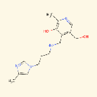 Cc1cn(CCCNCc2c(CO)cnc(C)c2O)cn1